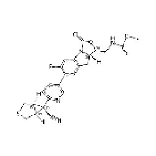 COC(=O)NC[C@@H]1OC(=O)N2c3cc(F)c(-c4ccc([C@@]5(C#N)[C@@H]6CSC[C@@H]65)nc4)cc3C[C@@H]12